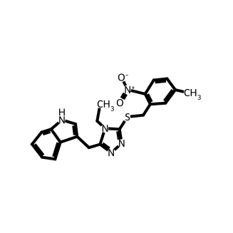 CCn1c(Cc2c[nH]c3ccccc23)nnc1SCc1cc(C)ccc1[N+](=O)[O-]